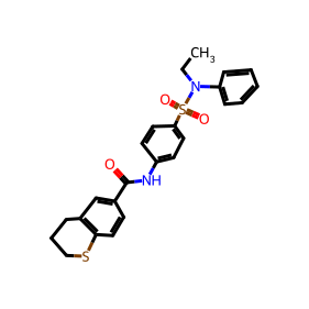 CCN(c1ccccc1)S(=O)(=O)c1ccc(NC(=O)c2ccc3c(c2)CCCS3)cc1